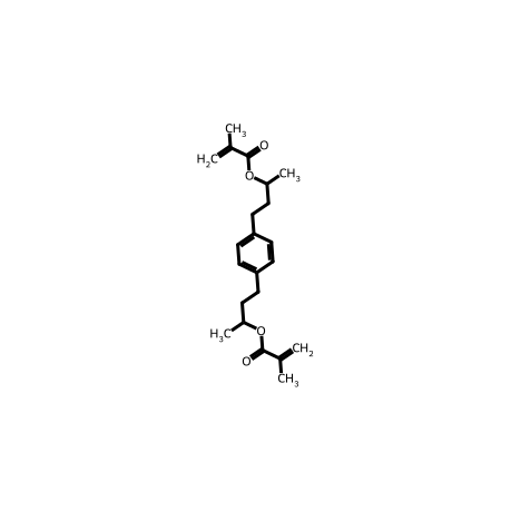 C=C(C)C(=O)OC(C)CCc1ccc(CCC(C)OC(=O)C(=C)C)cc1